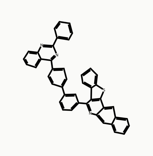 c1ccc(-c2nc(-c3ccc(-c4cccc(-c5nc6cc7ccccc7cc6c6sc7ccccc7c56)c4)cc3)c3ccccc3n2)cc1